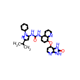 C=C(C)c1cc(NC(=O)Nc2ccc(Oc3ccnc4[nH]c(=O)[nH]c34)c3ncccc23)n(-c2ccccc2)n1